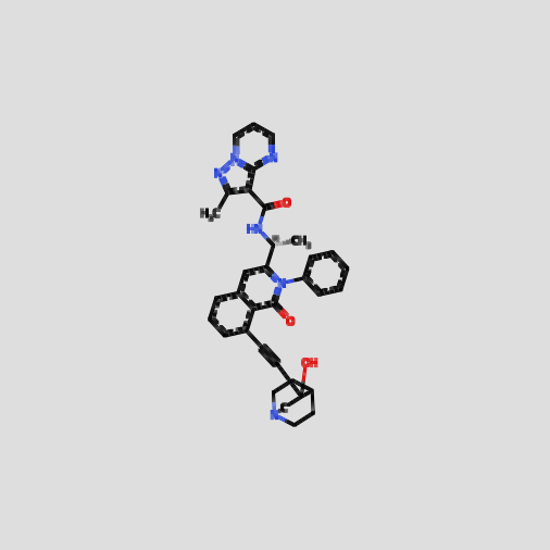 Cc1nn2cccnc2c1C(=O)N[C@H](C)c1cc2cccc(C#CC3(O)CN4CCC3CC4)c2c(=O)n1-c1ccccc1